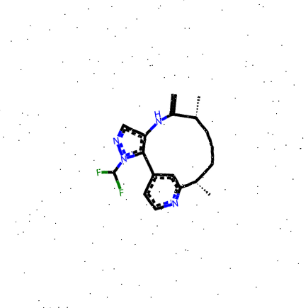 C=C1Nc2cnn(C(F)F)c2-c2ccnc(c2)[C@@H](C)CCC[C@H]1C